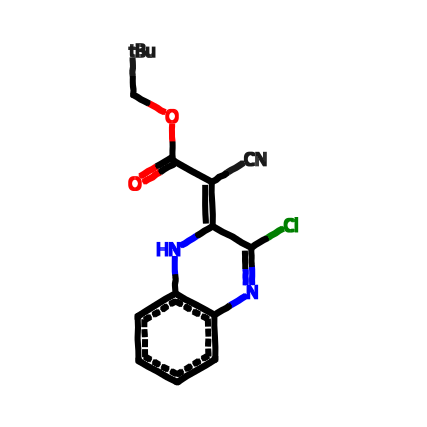 CC(C)(C)COC(=O)/C(C#N)=C1\Nc2ccccc2N=C1Cl